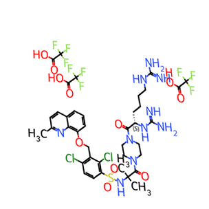 Cc1ccc2cccc(OCc3c(Cl)ccc(S(=O)(=O)NC(C)(C)C(=O)N4CCN(C(=O)[C@H](CCCCNC(=N)N)NC(=N)N)CC4)c3Cl)c2n1.O=C(O)C(F)(F)F.O=C(O)C(F)(F)F.O=C(O)C(F)(F)F